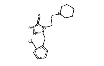 S=c1[nH]nc(Cc2ccccc2Cl)n1CCN1CCCCC1